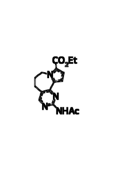 CCOC(=O)c1ccc2n1CCCc1cnc(NC(C)=O)nc1-2